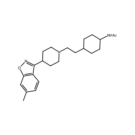 CC(=O)NC1CCC(CCN2CCC(c3noc4cc(C)ccc34)CC2)CC1